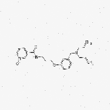 C=CCN(CC=C)Cc1cccc(OCCCNC(=O)c2ccc[n+]([O-])c2)c1